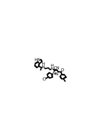 Cc1ccc(C(=O)c2nn(-c3ccc(Cl)cc3)c(NCCCNC(C)c3cccc4[nH]ccc34)c2C#N)cc1